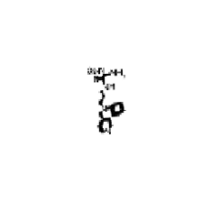 Nc1n[s+]([O-])nc1NCCCN(Cc1ccncc1)c1ccccc1